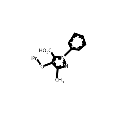 Cc1nn(-c2ccccc2)c(C(=O)O)c1OC(C)C